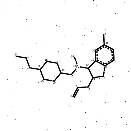 C=CCC1Cc2ccc(C)cc2C1N(C)CC1CCC(CCC)CC1